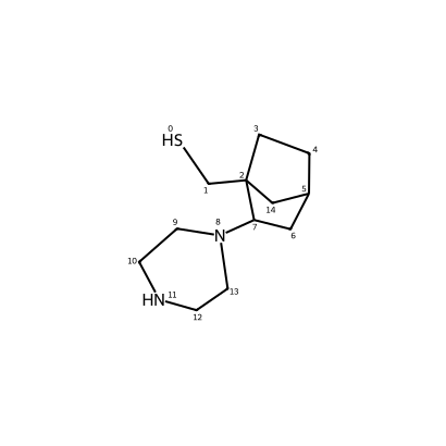 SCC12CCC(CC1N1CCNCC1)C2